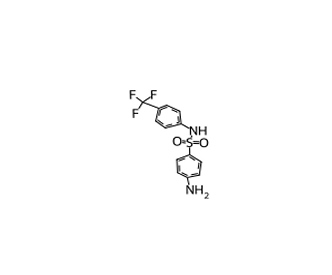 Nc1ccc(S(=O)(=O)Nc2ccc(C(F)(F)F)cc2)cc1